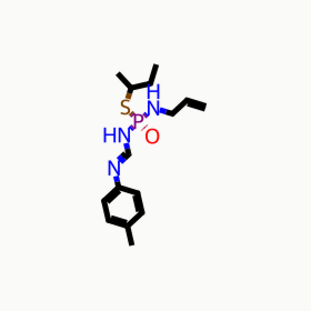 C=CCNP(=O)(NC=Nc1ccc(C)cc1)SC(C)CC